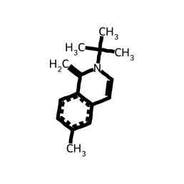 C=C1c2ccc(C)cc2C=CN1C(C)(C)C